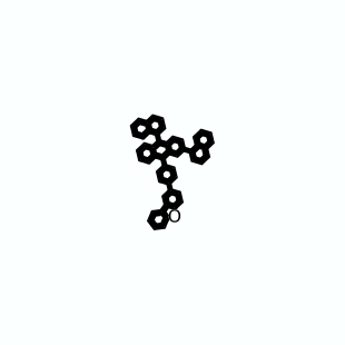 c1ccc2c(-c3ccc4c(-c5cccc6ccccc56)c5ccccc5c(-c5ccc(-c6ccc7oc8ccccc8c7c6)cc5)c4c3)cccc2c1